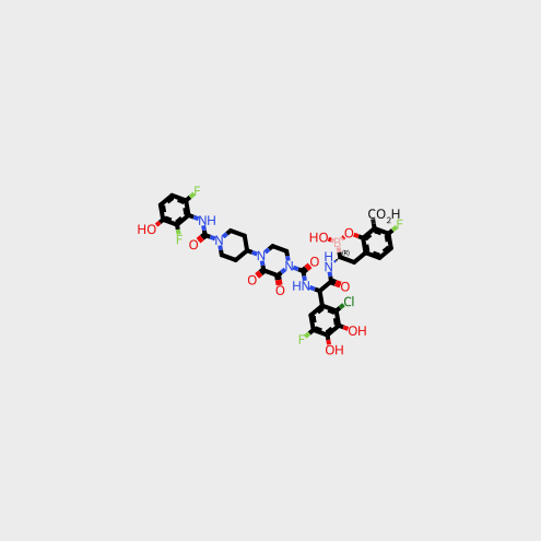 O=C(O)c1c(F)ccc2c1OB(O)[C@@H](NC(=O)C(NC(=O)N1CCN(C3CCN(C(=O)Nc4c(F)ccc(O)c4F)CC3)C(=O)C1=O)c1cc(F)c(O)c(O)c1Cl)C2